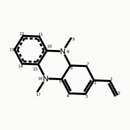 C=CC1=CC=C2C(C1)N(C)c1ccccc1N2C